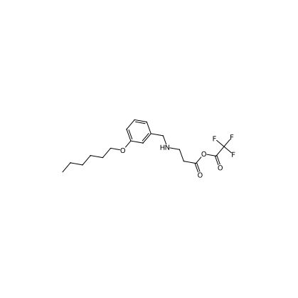 CCCCCCOc1cccc(CNCCC(=O)OC(=O)C(F)(F)F)c1